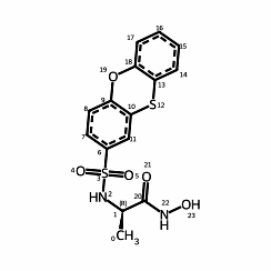 C[C@@H](NS(=O)(=O)c1ccc2c(c1)Sc1ccccc1O2)C(=O)NO